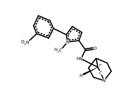 Cn1c(C(=O)N[C@H]2CN3CCC2CC3)ccc1-c1cccc([N+](=O)[O-])c1